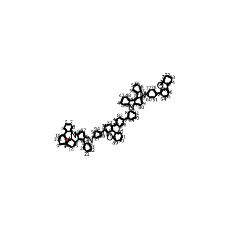 c1ccc(-c2ccccc2-n2c3ccccc3c3c4c5ccccc5n(-c5ccc(-c6ccc(-c7ccc(-c8cccc(-n9c%10ccccc%10c%10c%11c%12ccccc%12n(-c%12ccc(-c%13cccc%14c%13oc%13ccccc%13%14)cc%12)c%11ccc%109)c8)cc7)c7c6oc6ccccc67)cc5)c4ccc32)cc1